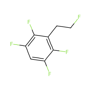 FCCc1c(F)c(F)cc(F)c1F